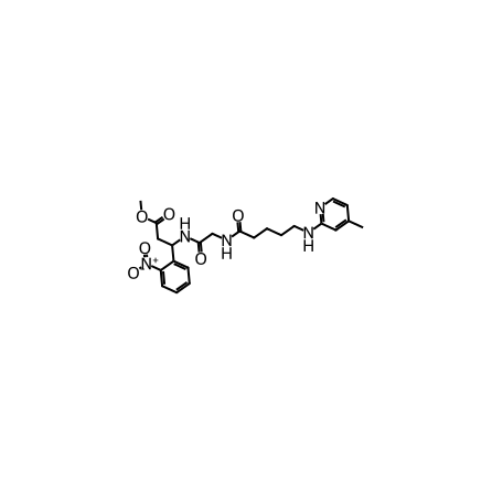 COC(=O)CC(NC(=O)CNC(=O)CCCCNc1cc(C)ccn1)c1ccccc1[N+](=O)[O-]